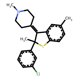 Cc1ccc2c(c1)C(=C1CCN(C)CC1)C(C)(c1cccc(Cl)c1)S2